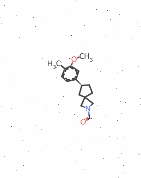 COc1cc([C@H]2CCC3(C2)CN(C=O)C3)ccc1C